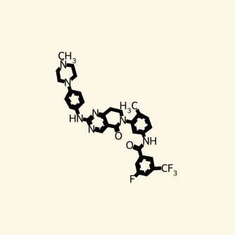 Cc1ccc(NC(=O)c2cc(F)cc(C(F)(F)F)c2)cc1N1CCc2nc(Nc3ccc(N4CCN(C)CC4)cc3)ncc2C1=O